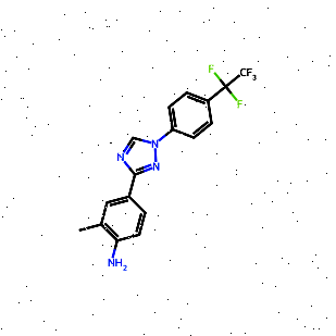 Cc1cc(-c2ncn(-c3ccc(C(F)(F)C(F)(F)F)cc3)n2)ccc1N